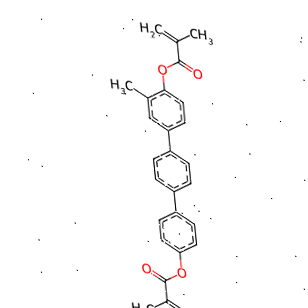 C=C(C)C(=O)Oc1ccc(-c2ccc(-c3ccc(OC(=O)C(=C)C)c(C)c3)cc2)cc1